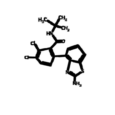 CC(C)(C)NC(=O)c1c(-c2cccc3sc(N)nc23)ccc(Cl)c1Cl